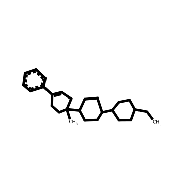 CCC1CCC(C2CCC(C3(C)CC=C(c4ccccc4)CC3)CC2)CC1